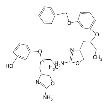 CCC(CC1COC(N)=N1)Oc1cccc(OCc2ccccc2)c1.CC[C@@H](CC1COC(N)=N1)Oc1cccc(O)c1